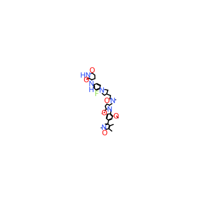 COc1cc(-c2cn(C)c(=O)c(C)c2C)cc(OC)c1CN1C(C)CCC1CN(C)C(=O)CC1CCN(c2ccc(NC3CCC(=O)NC3=O)cc2F)CC1